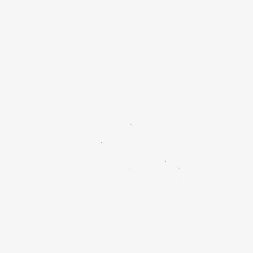 C=C(F)C(=O)N1CC(CNc2cc(Cl)c(-c3cc(O)ccc3Cl)cc2Nc2c(C)cccc2C(C)C)C1